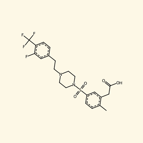 Cc1ccc(S(=O)(=O)N2CCN(CCc3ccc(C(F)(F)F)c(F)c3)CC2)cc1CC(=O)O